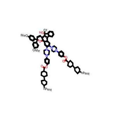 CCCCCC1CCC(C2CCC(C(=O)Oc3ccc(N4CCN(c5cc6c7c(c8c(c6cc5N5CCN(c6ccc(OC(=O)C9CCC(C%10CCC(CCCCC)CC%10)CC9)cc6)CC5)-c5ccccc5C8(O)C(F)(F)F)C=CC(c5ccc(OC)cc5)(c5ccc(OC)cc5)O7)CC4)cc3)CC2)CC1